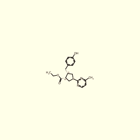 CCOC(=O)[C@H]1CN(c2nccc(C)n2)C[C@H]1Cc1ccc(O)cc1